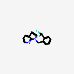 FC(F)(F)c1ccccc1Cn1ccc2cccnc21